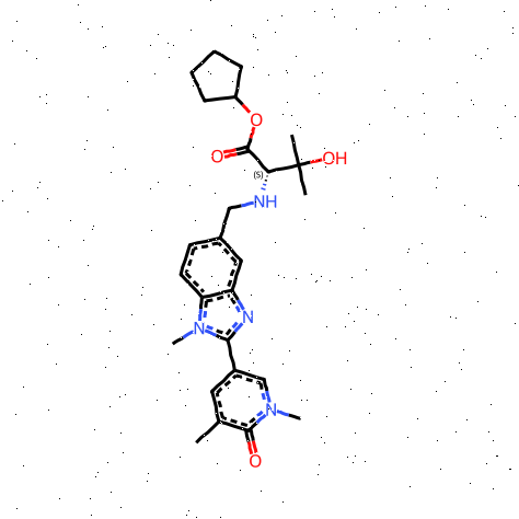 Cc1cc(-c2nc3cc(CN[C@H](C(=O)OC4CCCC4)C(C)(C)O)ccc3n2C)cn(C)c1=O